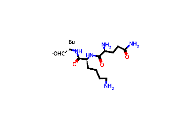 CC[C@H](C)[C@@H]([C]=O)NC(=O)[C@H](CCCCN)NC(=O)[C@@H](N)CCC(N)=O